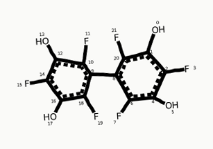 Oc1c(F)c(O)c(F)c(-c2c(F)c(O)c(F)c(O)c2F)c1F